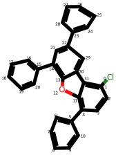 Clc1ccc(-c2ccccc2)c2oc3c(-c4ccccc4)cc(-c4ccccc4)cc3c12